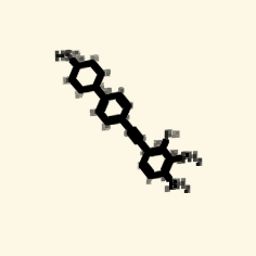 Bc1ccc(C#Cc2ccc(C3CCC(S)CC3)cc2)c(F)c1P